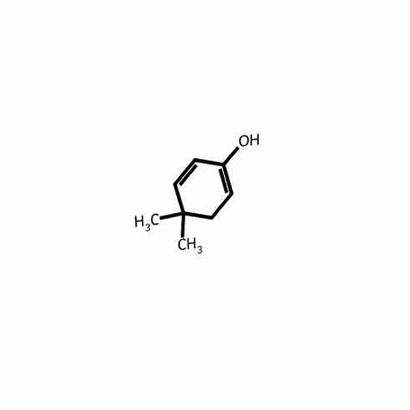 CC1(C)C=CC(O)=CC1